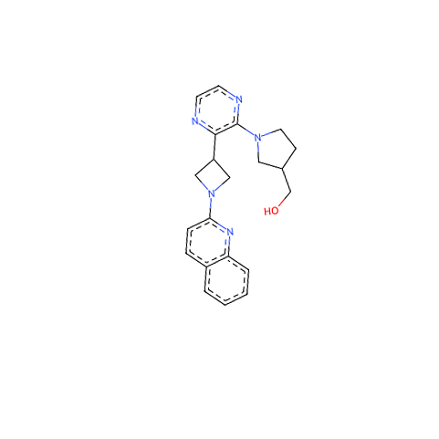 OCC1CCN(c2nccnc2C2CN(c3ccc4ccccc4n3)C2)C1